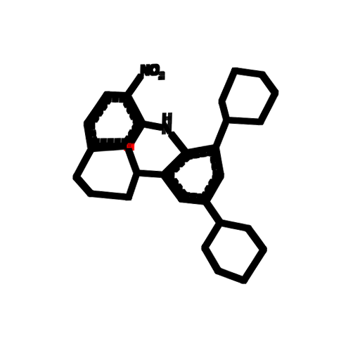 O=[N+]([O-])c1ccccc1Nc1c(C2CCCCC2)cc(C2CCCCC2)cc1C1CCCCC1